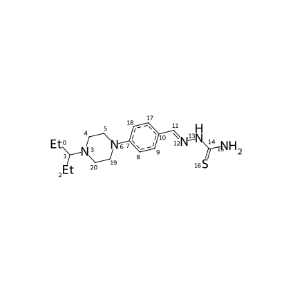 CCC(CC)N1CCN(c2ccc(/C=N/NC(N)=S)cc2)CC1